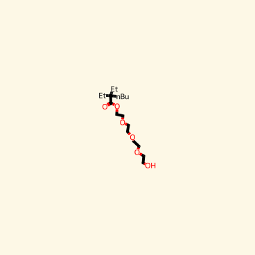 CCCCC(CC)(CC)C(=O)OCCOCCOCCOCCO